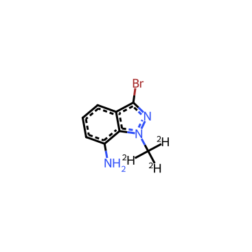 [2H]C([2H])([2H])n1nc(Br)c2cccc(N)c21